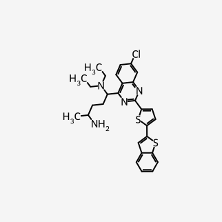 CCN(CC)C(CCC(C)N)c1nc(-c2ccc(-c3cc4ccccc4s3)s2)nc2cc(Cl)ccc12